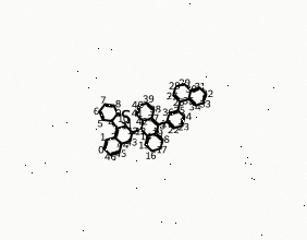 C1=CC2=C3C4C=CC=CC4SC3C(C3C4=CCCC=C4C(c4cccc(C5=CCCc6ccccc65)c4)=C4C=CC=CC43)CC2C=C1